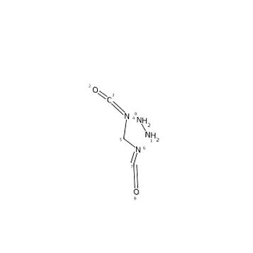 NN.O=C=NCN=C=O